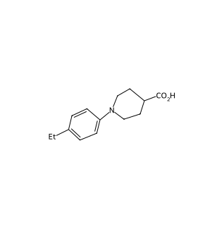 CCc1ccc(N2CCC(C(=O)O)CC2)cc1